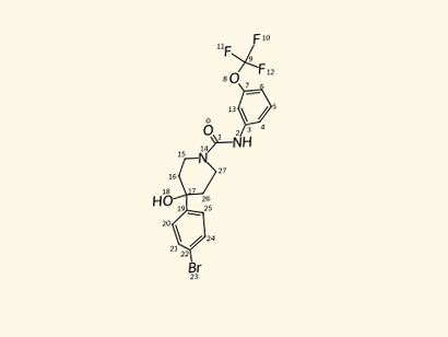 O=C(Nc1cccc(OC(F)(F)F)c1)N1CCC(O)(c2ccc(Br)cc2)CC1